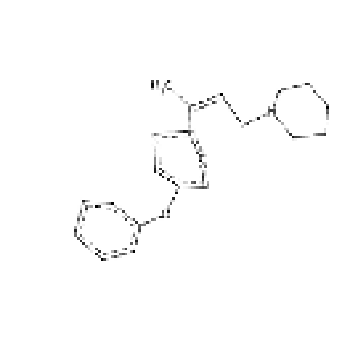 CC(=CCN1CCCCC1)c1ccc(Oc2ccccc2)cc1